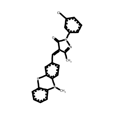 CC1=NN(c2cccc(Cl)c2)C(=O)/C1=C/c1ccc2c(c1)Sc1ccccc1N2C